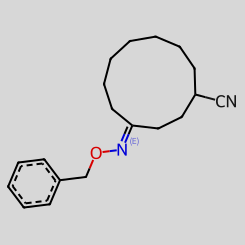 N#CC1CCCCCCC/C(=N\OCc2ccccc2)CC1